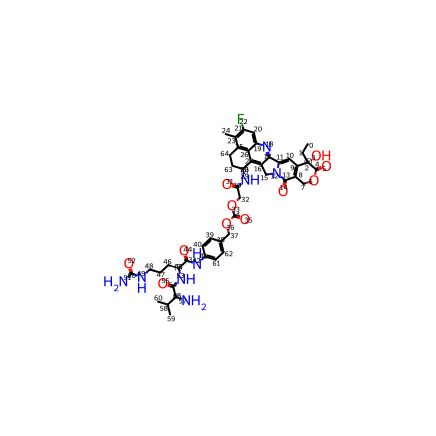 CC[C@@]1(O)C(=O)OCc2c1cc1n(c2=O)Cc2c-1nc1cc(F)c(C)c3c1c2[C@@H](NC(=O)COC(=O)OCc1ccc(NC(=O)[C@H](CCCNC(N)=O)NC(=O)[C@@H](N)C(C)C)cc1)CC3